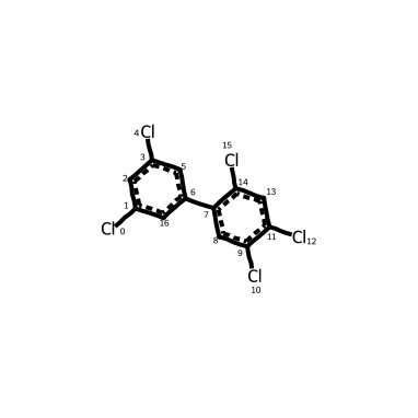 Clc1cc(Cl)cc(-c2cc(Cl)c(Cl)cc2Cl)c1